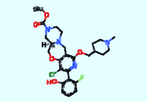 CN1CCC(COc2nc(-c3c(O)cccc3F)c(Cl)c3c2CN2CCN(C(=O)OC(C)(C)C)C[C@@H]2CO3)CC1